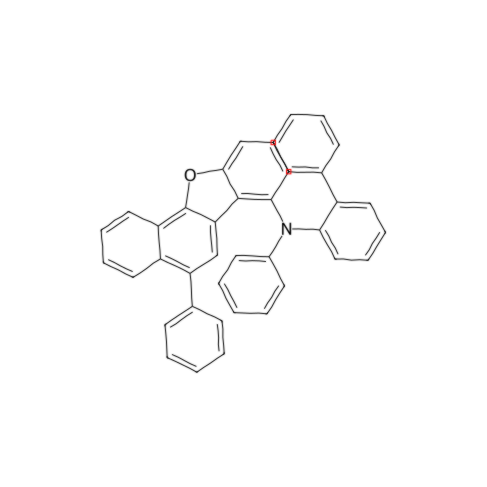 c1ccc(-c2ccccc2N(c2ccccc2)c2cccc3oc4c5ccccc5c(-c5ccccc5)cc4c23)cc1